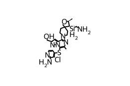 Cc1nc(N2CCC3(CC2)CO[C@@H](C)C3[SiH2]CN)c2cc(CO)nn2c1Sc1ccnc(N)c1Cl